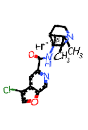 CC1(C)[C@@H](NC(=O)c2cc3c(Cl)coc3cn2)C2CCN1CC2